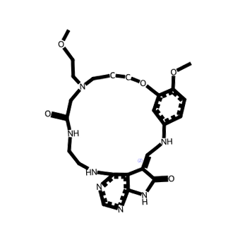 COCCN1CCCOc2cc(ccc2OC)N/C=C2\C(=O)Nc3ncnc(c32)NCCNC(=O)C1